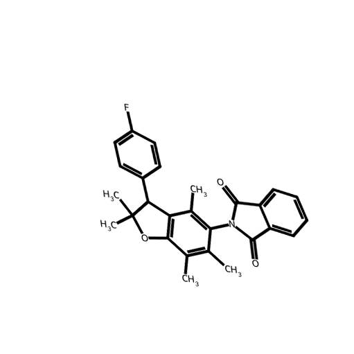 Cc1c(C)c(N2C(=O)c3ccccc3C2=O)c(C)c2c1OC(C)(C)C2c1ccc(F)cc1